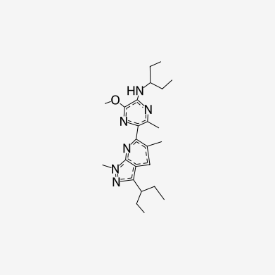 CCC(CC)Nc1nc(C)c(-c2nc3c(cc2C)c(C(CC)CC)nn3C)nc1OC